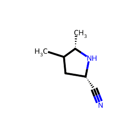 CC1C[C@@H](C#N)N[C@H]1C